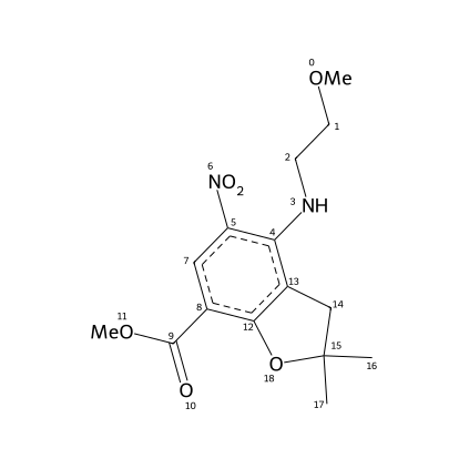 COCCNc1c([N+](=O)[O-])cc(C(=O)OC)c2c1CC(C)(C)O2